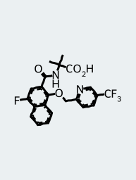 CC(C)(NC(=O)c1cc(F)c2ccccc2c1OCc1ccc(C(F)(F)F)cn1)C(=O)O